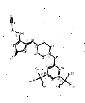 C#CCNC1=NC(=O)S/C1=C\C1CCN(Cc2cc(C(F)(F)F)cc(C(F)(F)F)c2)CC1